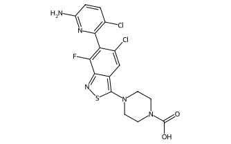 Nc1ccc(Cl)c(-c2c(Cl)cc3c(N4CCN(C(=O)O)CC4)snc3c2F)n1